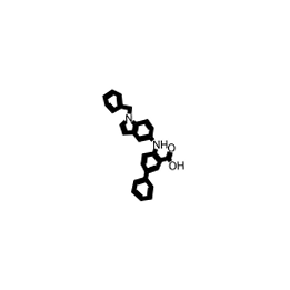 O=C(O)c1cc(-c2ccccc2)ccc1Nc1ccc2c(ccn2Cc2ccccc2)c1